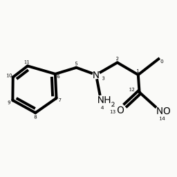 CC(CN(N)Cc1ccccc1)C(=O)N=O